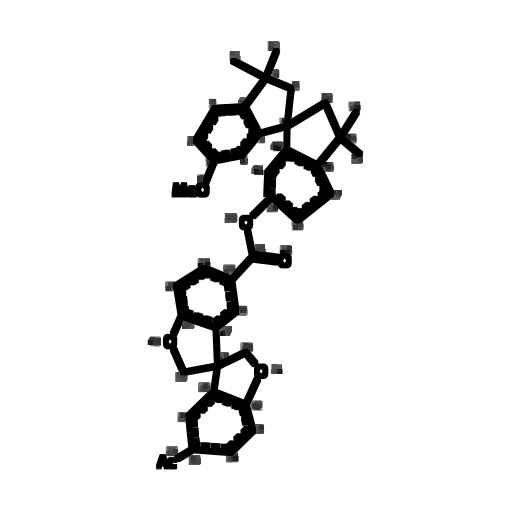 COc1ccc2c(c1)C1(CC2(C)C)CC(C)(C)c2ccc(OC(=O)c3ccc4c(c3)C3(COc5ccc(C(C)=O)cc53)CO4)cc21